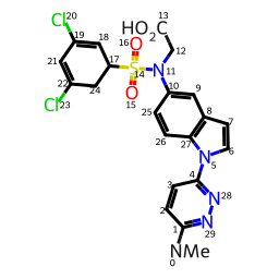 CNc1ccc(-n2ccc3cc(N(CC(=O)O)S(=O)(=O)C4C=C(Cl)C=C(Cl)C4)ccc32)nn1